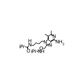 Cc1nc(N)c2nc(CONC(C)C)n(CCCCNC(=O)C(C)C)c2c1C